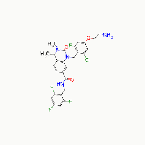 CC1c2ccc(C(=O)NCc3c(F)cc(F)cc3F)cc2N(Cc2c(F)cc(OCCN)cc2Cl)C(=O)N1C